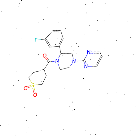 O=C(C1CCS(=O)(=O)CC1)N1CCN(c2ncccn2)CC1c1cccc(F)c1